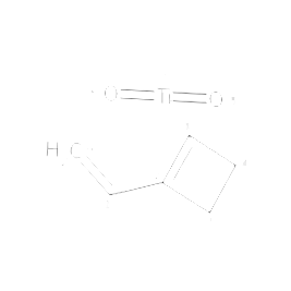 C=CC1=CCC1.[O]=[Ti]=[O]